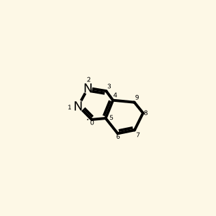 [c]1nncc2c1C=CCC2